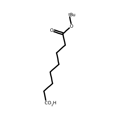 CC(C)(C)OC(=O)CCCCCCC(=O)O